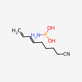 C=CC=CCCCCC#N.NP(O)O